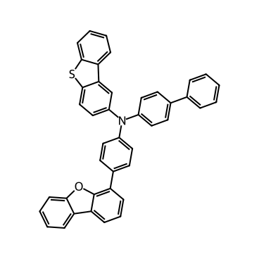 c1ccc(-c2ccc(N(c3ccc(-c4cccc5c4oc4ccccc45)cc3)c3ccc4sc5ccccc5c4c3)cc2)cc1